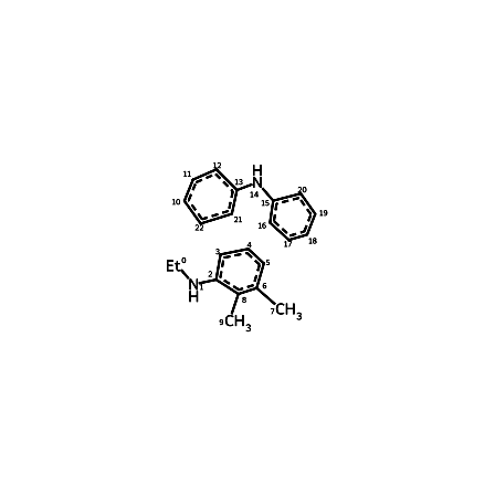 CCNc1cccc(C)c1C.c1ccc(Nc2ccccc2)cc1